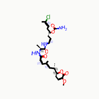 COC1=CC[C@@H]([C@@H](C)/C=C(C)/C=C\C(=O)N[C@@H](C)C(=O)N/C=C\C[C@H](C/C=C(\C)Cl)OC(N)=O)OC1=O